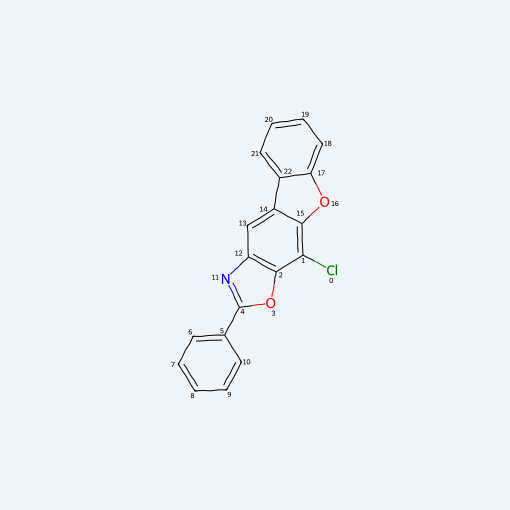 Clc1c2oc(-c3ccccc3)nc2cc2c1oc1ccccc12